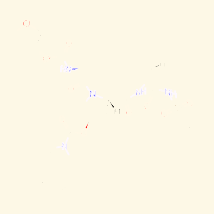 O=C(N[C@H]1CCCCC/C=C\[C@@H]2C[C@@]2(C(=O)NS(=O)(=O)C2CC2)NC(=O)[C@@H]2C[C@@H](OC(=O)N3Cc4ccccc4C3)CN2C1=O)O[C@@H]1CCOC1